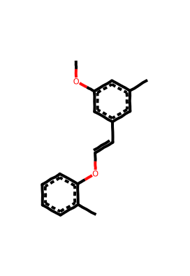 COc1cc(C)cc(/C=C/Oc2ccccc2C)c1